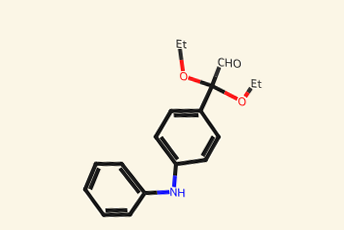 CCOC(C=O)(OCC)c1ccc(Nc2ccccc2)cc1